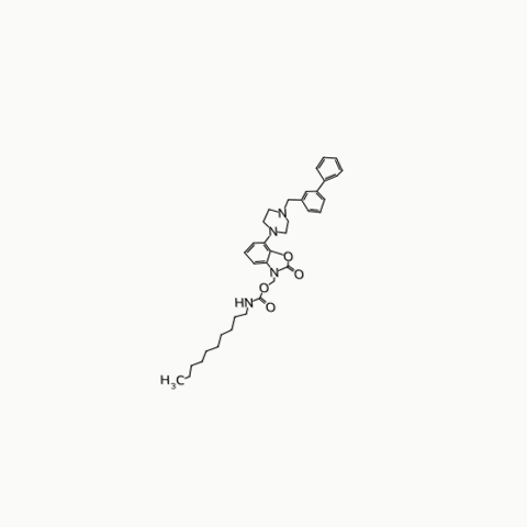 CCCCCCCCCCNC(=O)OCn1c(=O)oc2c(N3CCN(Cc4cccc(-c5ccccc5)c4)CC3)cccc21